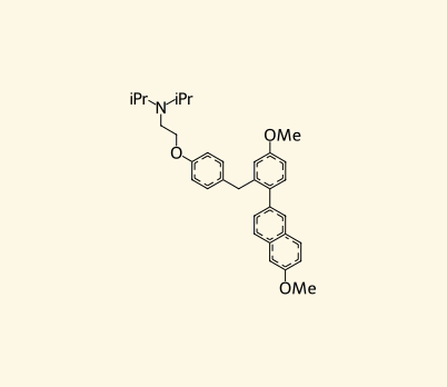 COc1ccc(-c2ccc3cc(OC)ccc3c2)c(Cc2ccc(OCCN(C(C)C)C(C)C)cc2)c1